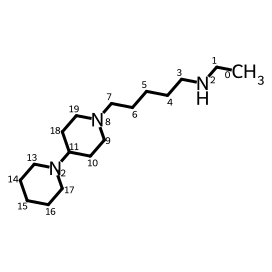 CCNCCCCCN1CCC(N2CCCCC2)CC1